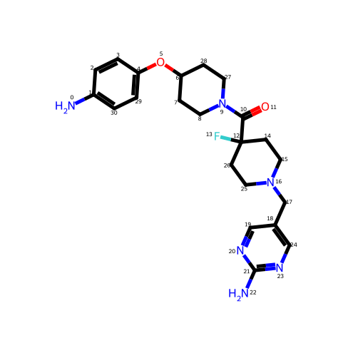 Nc1ccc(OC2CCN(C(=O)C3(F)CCN(Cc4cnc(N)nc4)CC3)CC2)cc1